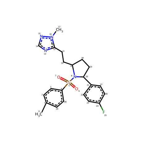 Cc1ccc(S(=O)(=O)N2C(CCc3ncnn3C)CCC2c2ccc(F)cc2)cc1